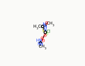 COc1cnc2c(-c3nc4c(Cl)c(F)c(OCCOC(=O)Nc5cnc(C)nc5)cc4s3)cc(C)cc2n1